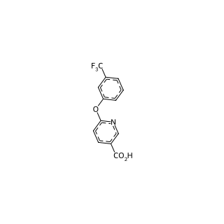 O=C(O)c1ccc(Oc2cccc(C(F)(F)F)c2)nc1